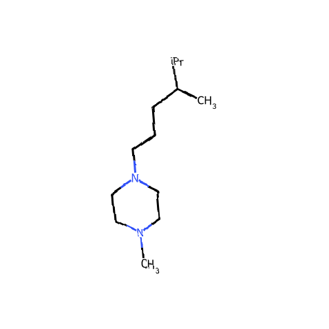 CC(C)C(C)CCCN1CCN(C)CC1